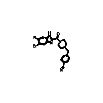 N#Cc1ccc(CN2CCN(C(=O)c3nc4cc(Br)c(F)cc4[nH]3)CC2)cc1